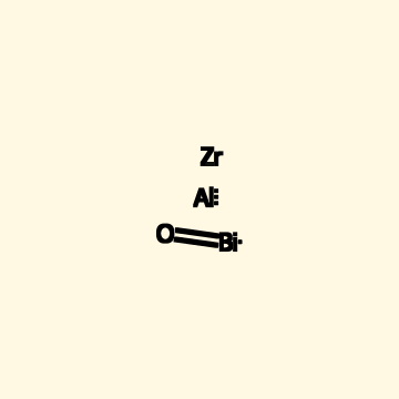 [Al].[O]=[Bi].[Zr]